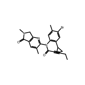 CCC#CC(=O)N(c1cc(C)c(Br)cc1C1CC1)c1nc2c(cc1C)C(=O)N(C)C2